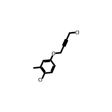 Cc1cc(OCC#CCCl)ccc1Cl